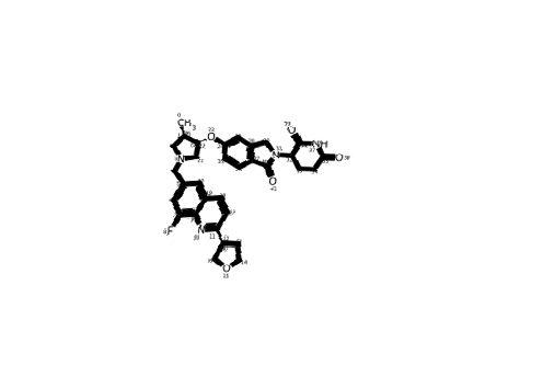 C[C@@H]1CN(Cc2cc(F)c3nc([C@H]4CCOC4)ccc3c2)C[C@H]1Oc1ccc2c(c1)CN(C1CCC(=O)NC1=O)C2=O